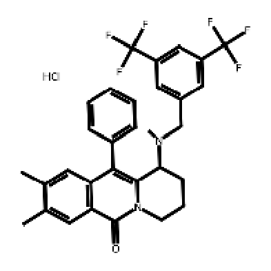 Cc1cc2c(-c3ccccc3)c3n(c(=O)c2cc1C)CCCC3N(C)Cc1cc(C(F)(F)F)cc(C(F)(F)F)c1.Cl